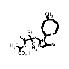 C=C1/C=C\C=C/C/C(n2c(Br)cnc2SC(C)(C)C(=O)NC(C)C(=O)O)=C\C=C/1